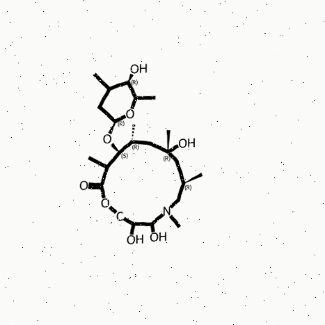 CC1C[C@H](O[C@@H]2C(C)C(=O)OCC(O)C(O)N(C)C[C@H](C)C[C@@](C)(O)C[C@H]2C)OC(C)[C@@H]1O